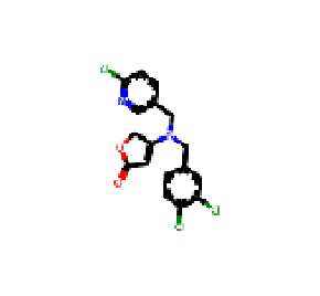 O=C1C=C(N(Cc2ccc(Cl)nc2)Cc2ccc(Cl)c(Cl)c2)CO1